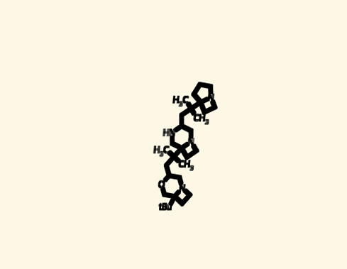 CC(C)(C)C12CCN1CC(CC(C)(C)C13CCN1CC(CC(C)(C)C14CCCN1CC4)NC3)OC2